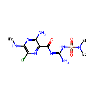 CCN(CC)S(=O)(=O)N/C(N)=N\C(=O)c1nc(Cl)c(NC(C)C)nc1N